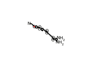 N#CCCCOc1ccc(C(=O)Oc2ccc(/C=C/C(=O)OCCCCCCOC(=O)c3cc(N)cc(N)c3)cc2)cc1